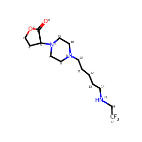 O=C1OCCC1N1CCN(CCCCCNCC(F)(F)F)CC1